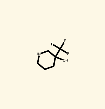 OC1(C(F)(F)F)CCCNC1